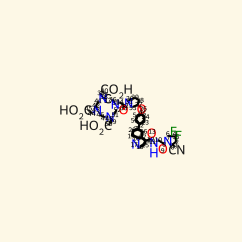 N#C[C@@H]1CC(F)(F)CN1C(=O)CNC(=O)c1ccnc2ccc(-c3ccc(OC4CCCN(C(=O)CN5CCN(CC(=O)O)CCN(CC(=O)O)CCN(CC(=O)O)CC5)C4)cc3)cc12